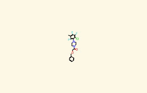 Cc1c(F)c(F)c(Cl)c(N2CCN(C(=O)COCc3ccccc3)CC2)c1F